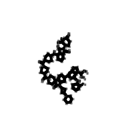 CC(C)n1cnc2cc(-c3ccc4c(c3)N(C3CC(N5CCCCC5)C3)C(=O)C43CCN(C(=O)C4CCN(C(=O)C5CCC(Nc6cccc7c6C(=O)N([C@@H]6CCC(=O)NC6=O)C7=O)CC5)CC4)CC3)nc(Nc3ccccc3F)c21